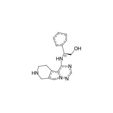 OC[C@@H](Nc1ncnn2cc3c(c12)CCNC3)c1ccccc1